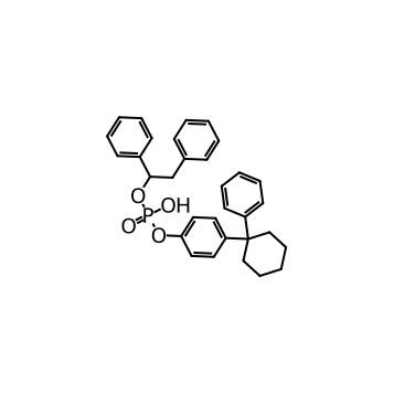 O=P(O)(Oc1ccc(C2(c3ccccc3)CCCCC2)cc1)OC(Cc1ccccc1)c1ccccc1